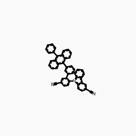 N#Cc1ccc(-n2c3ccccc3c3cc(C#N)ccc32)c(-c2cccc(-c3c4ccccc4c(-c4ccccc4)c4ccccc34)c2)c1